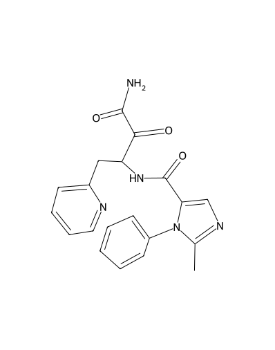 Cc1ncc(C(=O)NC(Cc2ccccn2)C(=O)C(N)=O)n1-c1ccccc1